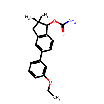 CCOc1cccc(-c2ccc3c(c2)CC(C)(C)C3OC(N)=O)c1